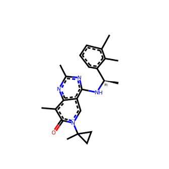 Cc1nc(N[C@H](C)c2cccc(C)c2C)c2cn(C3(C)CC3)c(=O)c(C)c2n1